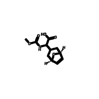 COC(=O)NC(C(=O)O)C1C[C@H]2C=C[C@@H](C1)O2